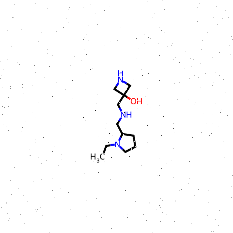 CCN1CCCC1CNCC1(O)CNC1